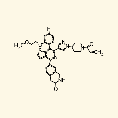 C=CC(=O)N1CCC(n2cc(-c3nc(-c4ccc5c(c4)CNC(=O)C5)c4ccsc4c3-c3ccc(F)cc3OCCOC)cn2)CC1